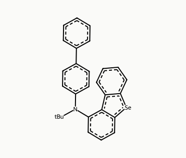 CC(C)(C)N(c1ccc(-c2ccccc2)cc1)c1cccc2[se]c3ccccc3c12